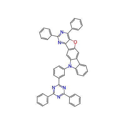 c1ccc(-c2nc(-c3ccccc3)nc(-c3cccc(-n4c5ccccc5c5cc6oc7c(-c8ccccc8)nc(-c8ccccc8)nc7c6cc54)c3)n2)cc1